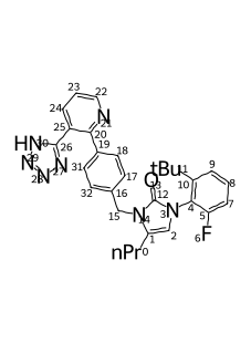 CCCc1cn(-c2c(F)cccc2C(C)(C)C)c(=O)n1Cc1ccc(-c2ncccc2-c2nnn[nH]2)cc1